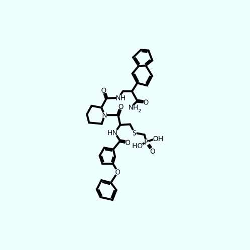 NC(=O)C(CNC(=O)C1CCCCN1C(=O)C(CSCP(=O)(O)O)NC(=O)c1cccc(Oc2ccccc2)c1)c1ccc2ccccc2c1